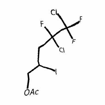 CC(=O)OCC(I)CC(F)(Cl)C(F)(F)Cl